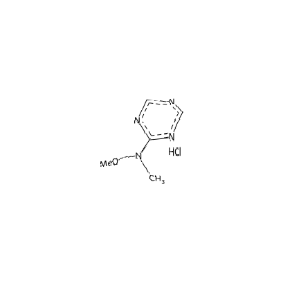 CON(C)c1ncncn1.Cl